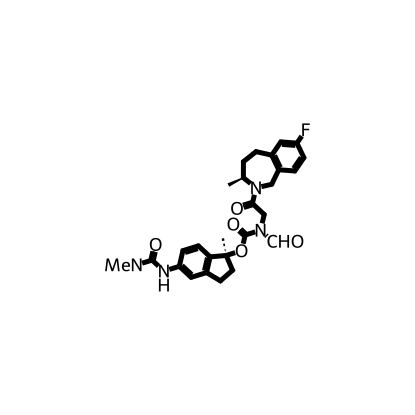 CNC(=O)Nc1ccc2c(c1)CC[C@]2(C)OC(=O)N(C=O)CC(=O)N1Cc2ccc(F)cc2CC[C@@H]1C